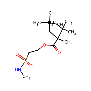 CNS(=O)(=O)CCOC(=O)C(C)(CC(C)(C)C)C(C)(C)C